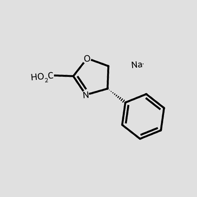 O=C(O)C1=N[C@@H](c2ccccc2)CO1.[Na]